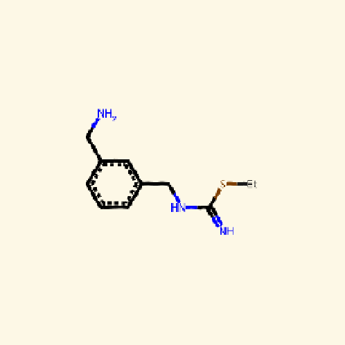 CCSC(=N)NCc1cccc(CN)c1